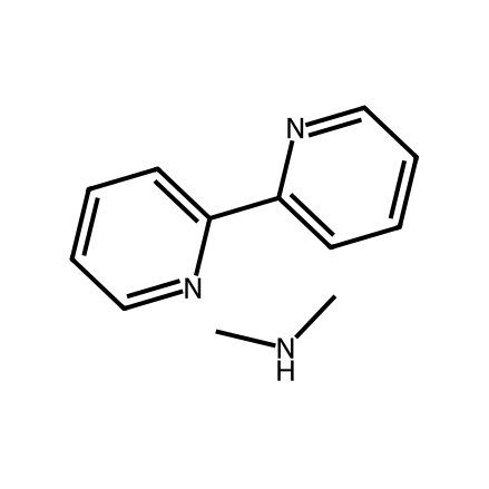 CNC.c1ccc(-c2ccccn2)nc1